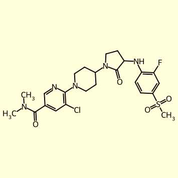 CN(C)C(=O)c1cnc(N2CCC(N3CCC(Nc4ccc(S(C)(=O)=O)cc4F)C3=O)CC2)c(Cl)c1